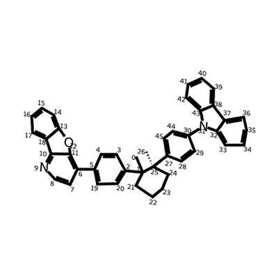 CC1(c2ccc(-c3ccnc4c3oc3ccccc34)cc2)CCCC[C@]1(C)c1ccc(-n2c3ccccc3c3ccccc32)cc1